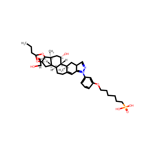 CCCC1O[C@@H]2C[C@H]3[C@@H]4CCC5=CC6=[N+](c7cccc(OCCCCCCP(=O)(O)O)c7)N=CC6C[C@]5(C)[C@H]4[C@@H](O)C[C@]3(C)[C@]2(C(=O)CO)O1